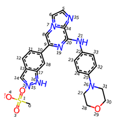 CS(=O)(=O)O.c1cn2cc(-c3ccc4cn[nH]c4c3)nc(Nc3ccc(N4CCOCC4)cc3)c2n1